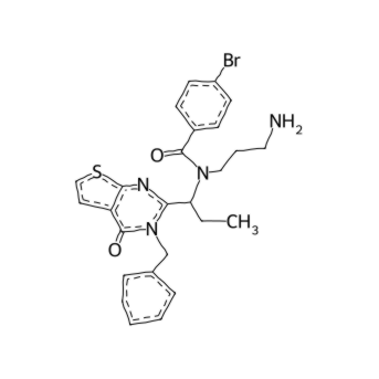 CCC(c1nc2sccc2c(=O)n1Cc1ccccc1)N(CCCN)C(=O)c1ccc(Br)cc1